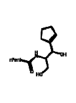 CCCCCC(=O)NC(CO)C(O)C1=CCCC1